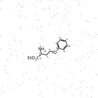 CCOC(=O)[C@@H](N)CCOc1ccccc1